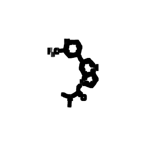 CN(C)C(=O)Cn1ccc2ncc(-c3ccnc(C(F)(F)F)c3)cc21